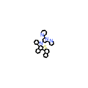 C1=CCN=C(c2cc(-n3c4ccccc4c4c5ccccc5c5c(sc6ccc7ccccc7c65)c43)cc(-c3ccccn3)n2)C=C1